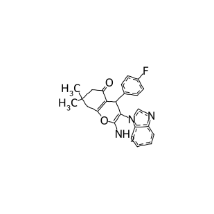 CC1(C)CC(=O)C2=C(C1)OC(N)=C(n1cnc3ccccc31)C2c1ccc(F)cc1